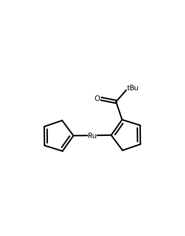 CC(C)(C)C(=O)C1=[C]([Ru][C]2=CC=CC2)CC=C1